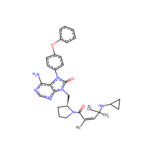 CC(C)(/C=C(/C#N)C(=O)N1CCC[C@H]1Cn1c(=O)n(-c2ccc(Oc3ccccc3)cc2)c2c(N)ncnc21)NC1CC1